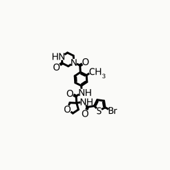 Cc1cc(NC(=O)C2(NC(=O)c3ccc(Br)s3)CCOC2)ccc1C(=O)N1CCNC(=O)C1